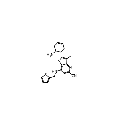 Cc1c([C@H]2CC=CC[C@@H]2N)sc2c(NCc3cccs3)cc(C#N)nc12